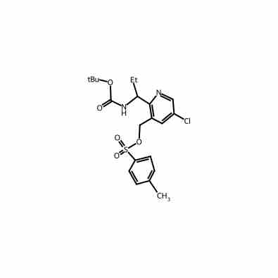 CCC(NC(=O)OC(C)(C)C)c1ncc(Cl)cc1COS(=O)(=O)c1ccc(C)cc1